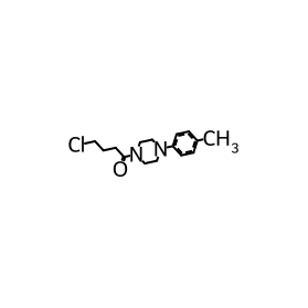 Cc1ccc(N2CCN(C(=O)CCCCl)CC2)cc1